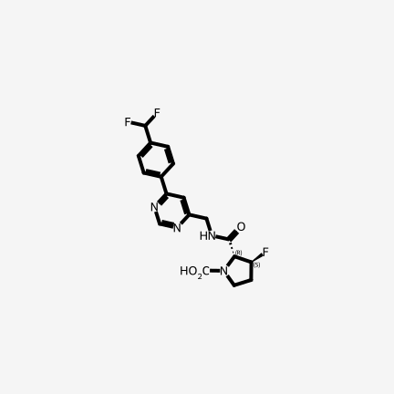 O=C(NCc1cc(-c2ccc(C(F)F)cc2)ncn1)[C@@H]1[C@@H](F)CCN1C(=O)O